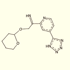 N=C(COC1CCCCO1)c1cc(-c2nnn[nH]2)ccn1